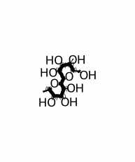 C[C@H]1OC([C]2O[C@H](CO)[C@@H](O)[C@H](O)[C@H]2O)[C@H](O)[C@@H](O)[C@H]1O